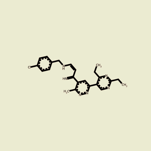 CCc1ncc(-c2cc(C(=N)/C=C\NCc3ccc(Cl)cc3)c(C)nn2)c(CC)n1